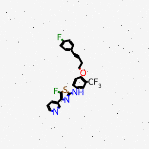 Fc1ccc(C#CCCOc2ccc(Nc3nc(-c4cccnc4)c(F)s3)cc2C(F)(F)F)cc1